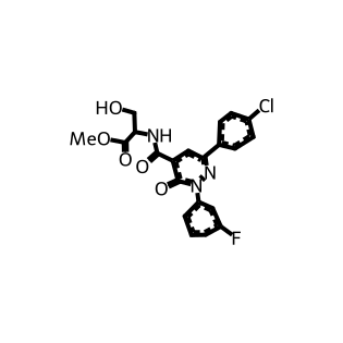 COC(=O)C(CO)NC(=O)c1cc(-c2ccc(Cl)cc2)nn(-c2cccc(F)c2)c1=O